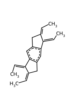 C/C=C1/Cc2cc3c(cc2/C1=C/C)CC(=C/C)/C3=C\C